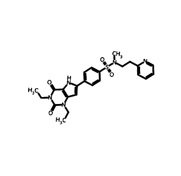 CCn1c(=O)c2[nH]c(-c3ccc(S(=O)(=O)N(C)CCc4ccccn4)cc3)cc2n(CC)c1=O